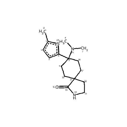 Cc1ccc(C2(N(C)C)CCC3(CCNC3=O)CC2)s1